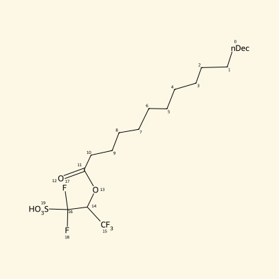 CCCCCCCCCCCCCCCCCCCCC(=O)OC(C(F)(F)F)C(F)(F)S(=O)(=O)O